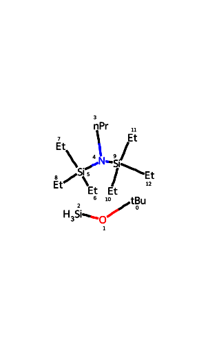 CC(C)(C)O[SiH3].CCCN([Si](CC)(CC)CC)[Si](CC)(CC)CC